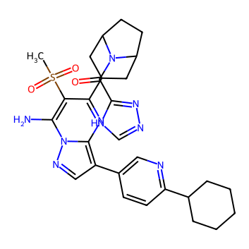 CS(=O)(=O)c1c(C2CC3CCC(C2)N3C(=O)c2nnc[nH]2)nc2c(-c3ccc(C4CCCCC4)nc3)cnn2c1N